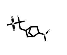 C[S+]([O-])C1CC2CC1CC2CC(F)(F)S(C)(=O)=O